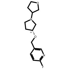 Fc1ccc(CO[C@@H]2CCN(C3CCOC3)C2)cn1